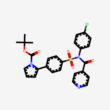 CC(C)(C)OC(=O)n1cccc1-c1ccc(S(=O)(=O)N(C(=O)c2ccncc2)c2ccc(Cl)cc2)cc1